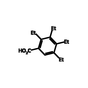 CCc1cc(C(=O)O)c(CC)c(CC)c1CC